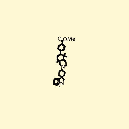 COC(=O)c1ccc(C2=CCC3(C)CN(C4CCC(CN)(c5ccccc5)CC4)CC=C3C2(C)C)cc1